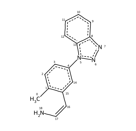 Cc1ccc(-n2nnc3ccccc32)cc1/C=C\N